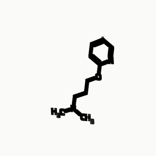 CN(C)CCCOc1cc[c]cn1